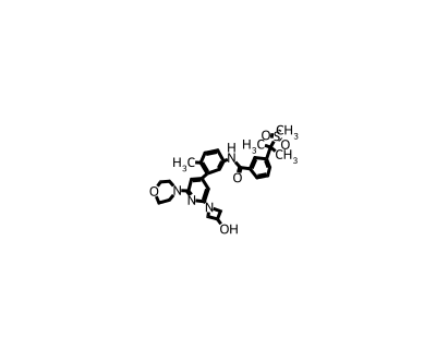 Cc1ccc(NC(=O)c2cccc(C(C)(C)S(C)(=O)=O)c2)cc1-c1cc(N2CCOCC2)nc(N2CC(O)C2)c1